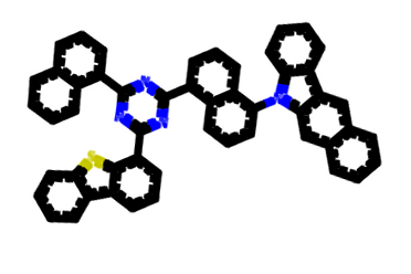 c1ccc2cc3c(cc2c1)c1ccccc1n3-c1cccc2c(-c3nc(-c4cccc5ccccc45)nc(-c4cccc5c4sc4ccccc45)n3)cccc12